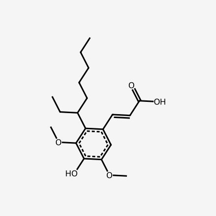 CCCCCC(CC)c1c(C=CC(=O)O)cc(OC)c(O)c1OC